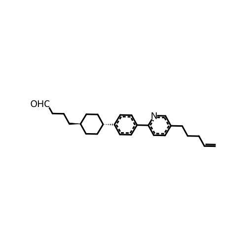 C=CCCCc1ccc(-c2ccc([C@H]3CC[C@H](CCCC=O)CC3)cc2)nc1